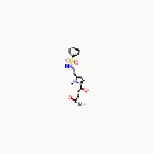 COC(=O)CCC(=O)c1ccc(CCNS(=O)(=O)c2ccccc2)n1C